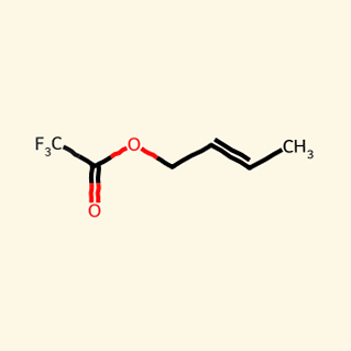 C/C=C/COC(=O)C(F)(F)F